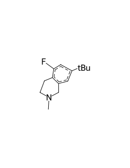 CN1CCc2c(F)cc(C(C)(C)C)cc2C1